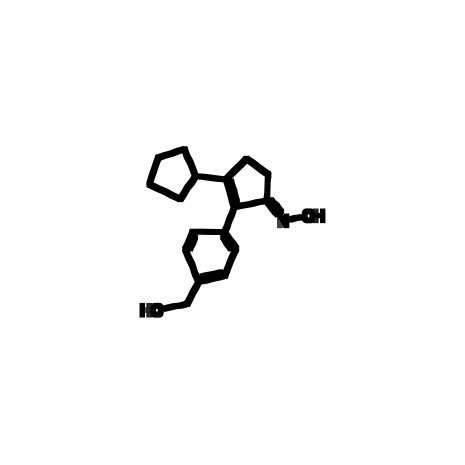 OCc1ccc(C2=C(C3CCCC3)CC/C2=N\O)cc1